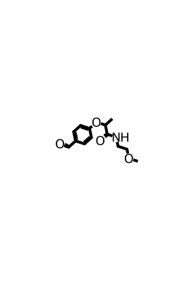 COCCNC(=O)C(C)Oc1ccc(C=O)cc1